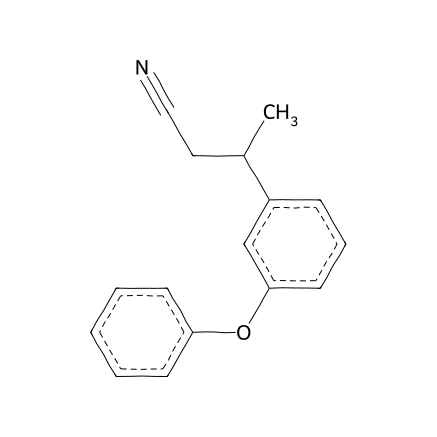 CC(CC#N)c1cccc(Oc2ccccc2)c1